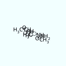 CC(=O)[C@H]1CC[C@H]2[C@@H]3CC=C4CC(NC(=O)[C@H](C)N)CC[C@]4(C)[C@H]3CC[C@]12C